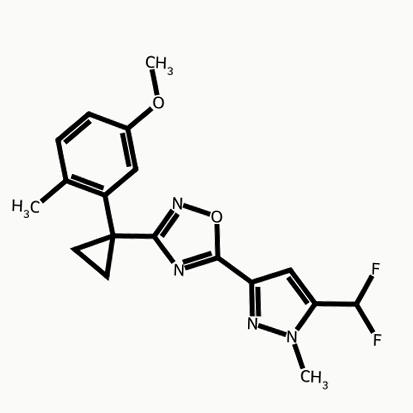 COc1ccc(C)c(C2(c3noc(-c4cc(C(F)F)n(C)n4)n3)CC2)c1